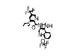 CCSc1cc(C(F)(F)F)cnc1C(=O)Nc1cnc2c(OC(F)(F)F)cccc2c1NC